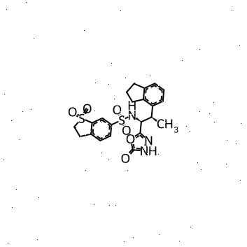 C[C@H](c1cccc2c1CCC2)[C@H](NS(=O)(=O)c1ccc2c(c1)S(=O)(=O)CC2)c1n[nH]c(=O)o1